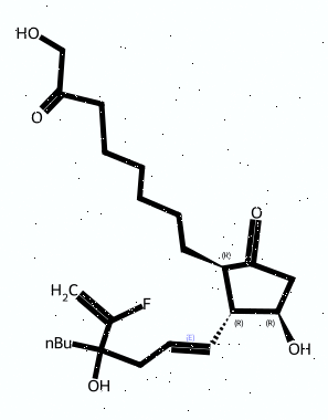 C=C(F)C(O)(C/C=C/[C@H]1[C@H](O)CC(=O)[C@@H]1CCCCCCC(=O)CO)CCCC